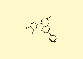 CN1CCN(c2ccc(F)c(F)c2)c2ccc(-c3ccncc3)cc2C1